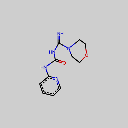 N=C(NC(=O)Nc1ccccn1)N1CCOCC1